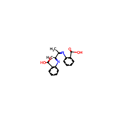 CC(=Nc1ccccc1C(=O)O)C(C)=Nc1ccccc1C(=O)O